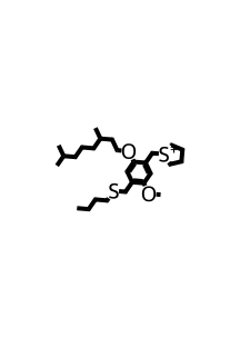 CCCCSCc1cc(OCCC(C)CCCC(C)C)c(C[S+]2CCCC2)cc1OC